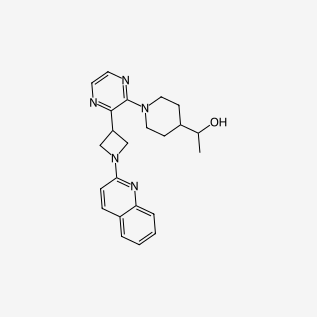 CC(O)C1CCN(c2nccnc2C2CN(c3ccc4ccccc4n3)C2)CC1